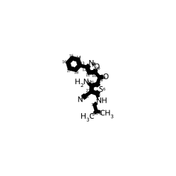 CC(C)CNc1sc(C(=O)c2cc(-c3ccccc3)no2)c(N)c1C#N